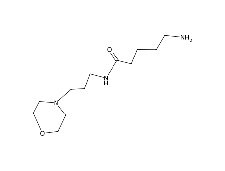 NCCCCC(=O)NCCCN1CCOCC1